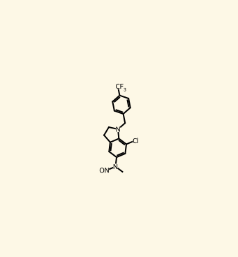 CN(N=O)c1cc(Cl)c2c(c1)CCN2Cc1ccc(C(F)(F)F)cc1